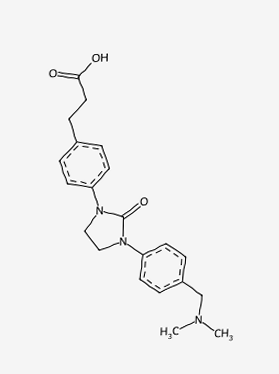 CN(C)Cc1ccc(N2CCN(c3ccc(CCC(=O)O)cc3)C2=O)cc1